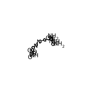 NC(=O)c1nnc(N[C@H]2CCCC[C@H]2N)nc1CCc1ccc(C2CCN(CC3CCN(c4ccc5c(c4)C(=O)N(C4CCC(=O)NC4=O)C5=O)C3)CC2)cc1